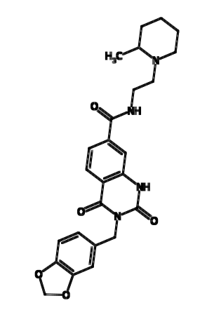 CC1CCCCN1CCNC(=O)c1ccc2c(=O)n(Cc3ccc4c(c3)OCO4)c(=O)[nH]c2c1